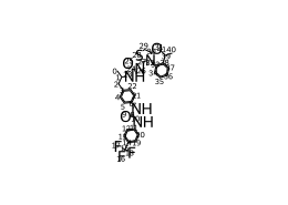 CC(Cc1ccc(NC(=O)Nc2ccc(C(F)(F)F)cc2)cc1)NC(=O)/N=C1\SCC(=O)N1c1ccccc1C(C)C